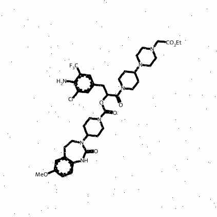 CCOC(=O)CN1CCN(C2CCN(C(=O)C(Cc3cc(Cl)c(N)c(C(F)(F)F)c3)OC(=O)N3CCC(N4CCc5cc(OC)ccc5NC4=O)CC3)CC2)CC1